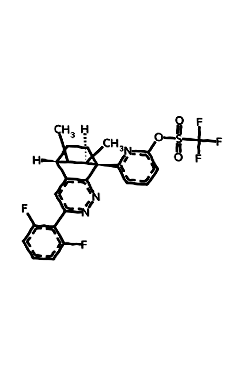 CC1[C@@H](C)[C@]2(c3cccc(OS(=O)(=O)C(F)(F)F)n3)CC[C@H]1c1cc(-c3c(F)cccc3F)nnc12